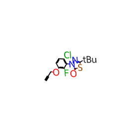 C#CCOc1ccc(Cl)c(-n2nc(C(C)(C)C)sc2=O)c1F